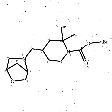 CC(C)(C)OC(=O)N1CCC(CN2CC3CC2CO3)CC1(C)C